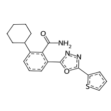 NC(=O)c1c(-c2nnc(-c3cccs3)o2)cccc1C1CCCCC1